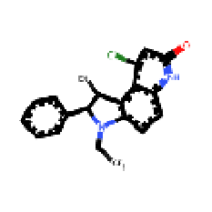 CCC1c2c(ccc3[nH]c(=O)cc(Cl)c23)N(CC(F)(F)F)C1c1ccccc1